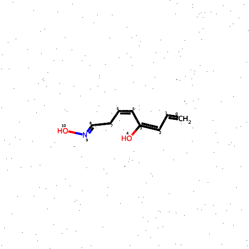 C=C/C=C(O)\C=C/C/C=N/O